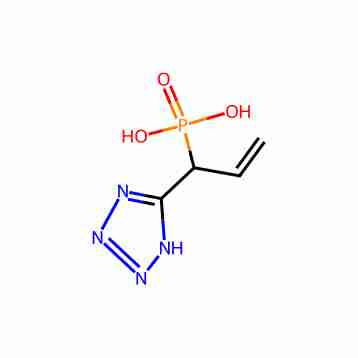 C=CC(c1nnn[nH]1)P(=O)(O)O